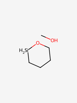 C1CC[SiH2]OC1.CO